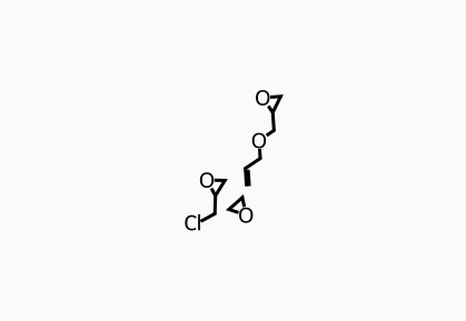 C1CO1.C=CCOCC1CO1.ClCC1CO1